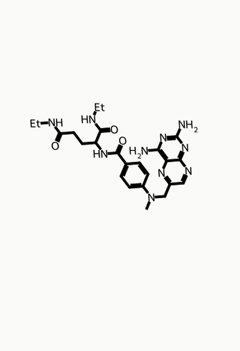 CCNC(=O)CCC(NC(=O)c1ccc(N(C)Cc2cnc3nc(N)nc(N)c3n2)cc1)C(=O)NCC